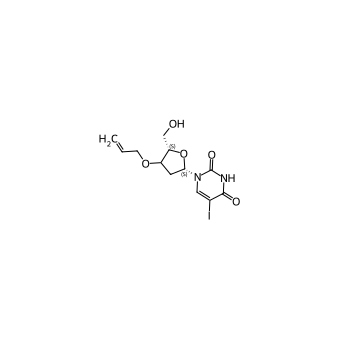 C=CCOC1C[C@@H](n2cc(I)c(=O)[nH]c2=O)O[C@H]1CO